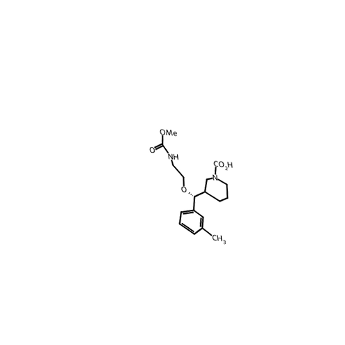 COC(=O)NCCO[C@@H](c1cccc(C)c1)C1CCCN(C(=O)O)C1